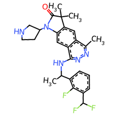 Cc1nnc(NC(C)c2cccc(C(F)F)c2F)c2cc3c(cc12)C(C)(C)C(=O)N3C1CCNC1